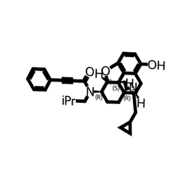 CC(C)CN(C(=O)C#Cc1ccccc1)[C@@H]1CC[C@H]2[C@H]3Cc4c(O)ccc5c4[C@@]2(CCN3CC2CC2)[C@H]1O5